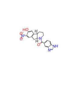 O=C(c1ccc2[nH]cnc2c1)N1CCC[C@H]2c3cc(O)c([N+](=O)[O-])cc3C[C@H]21